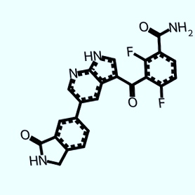 NC(=O)c1ccc(F)c(C(=O)c2c[nH]c3ncc(-c4ccc5c(c4)C(=O)NC5)cc23)c1F